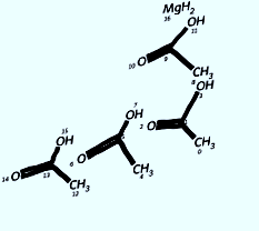 CC(=O)O.CC(=O)O.CC(=O)O.CC(=O)O.[MgH2]